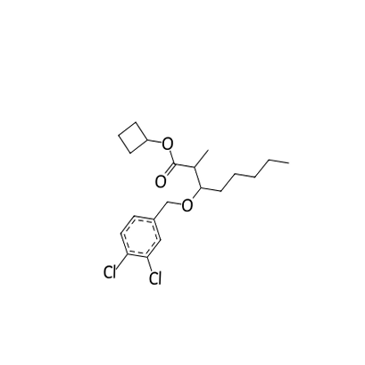 CCCCCC(OCc1ccc(Cl)c(Cl)c1)C(C)C(=O)OC1CCC1